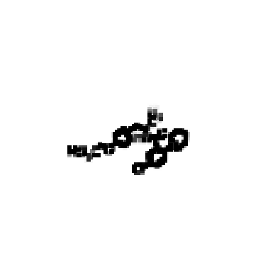 CC(Cc1ccc(OCC(=O)O)cc1)NC(=O)c1cc(Cl)ccc1N1CCCCC1